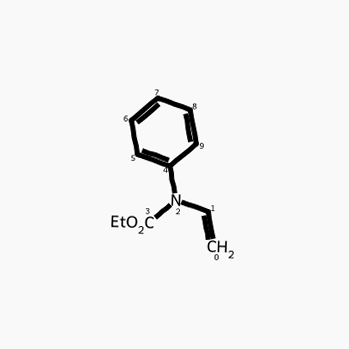 C=CN(C(=O)OCC)c1ccccc1